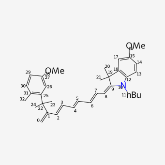 C=C(/C=C/C=C/C=C/C=C1/N(CCCC)c2ccc(OC)cc2C1(C)C)C(C)(C)c1cc(OC)ccc1C